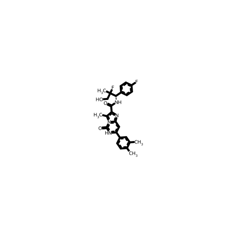 Cc1ccc(-c2cc3nc(C(=O)N[C@@H](c4ccc(F)cc4)C(C)(F)CO)c(C)n3c(=O)[nH]2)cc1C